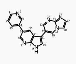 c1cncc(-c2cnc3[nH]cc(-c4cnc5nccn5c4)c3c2)c1